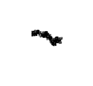 C=C(CCC(=O)NC1CCC1)CS(=O)(=O)c1ccc(OC/C(=C/F)CNC(=O)OC(C)(C)C)cc1